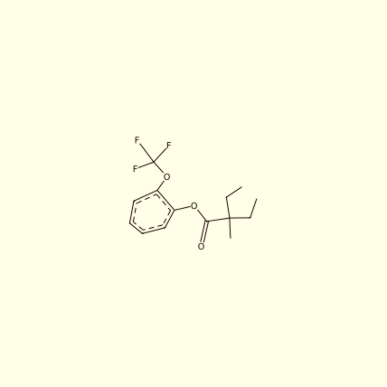 CCC(C)(CC)C(=O)Oc1ccccc1OC(F)(F)F